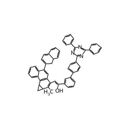 CC1=C(/C=C(\O)c2cccc(-c3ccc(-c4nc(-c5ccccc5)nc(-c5ccccc5)n4)cc3)c2)c2cc(C3=CC=C4C=CC=CC4C3)c3ccccc3c2C2CC12